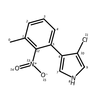 Cc1cccc(-c2c[nH]cc2Cl)c1[N+](=O)[O-]